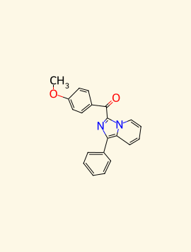 COc1ccc(C(=O)c2nc(-c3ccccc3)c3ccccn23)cc1